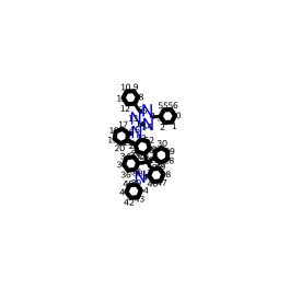 c1ccc(-c2nc(-c3ccccc3)nc(-n3c4ccccc4c4cc(C5(c6ccccc6)c6ccccc6N(c6ccccc6)c6ccccc65)ccc43)n2)cc1